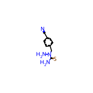 N#Cc1ccc(CN(N)C(N)=S)cc1